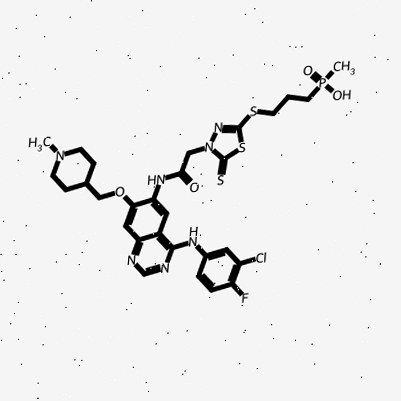 CN1CCC(COc2cc3ncnc(Nc4ccc(F)c(Cl)c4)c3cc2NC(=O)Cn2nc(SCCCP(C)(=O)O)sc2=S)CC1